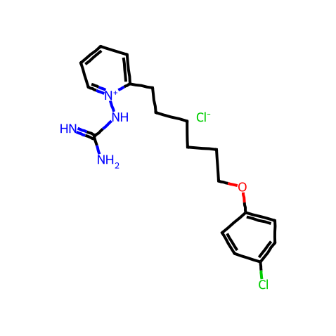 N=C(N)N[n+]1ccccc1CCCCCCOc1ccc(Cl)cc1.[Cl-]